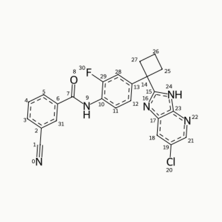 N#Cc1cccc(C(=O)Nc2ccc(C3(c4nc5cc(Cl)cnc5[nH]4)CCC3)cc2F)c1